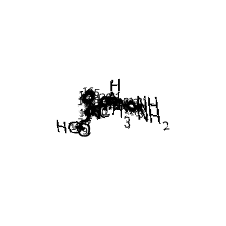 Cc1c(-n2nc(CCC(=O)O)cc2-c2ccccc2)ccc2[nH]c(CNc3ccc(C(=N)N)cc3)nc12